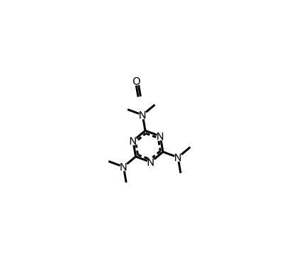 C=O.CN(C)c1nc(N(C)C)nc(N(C)C)n1